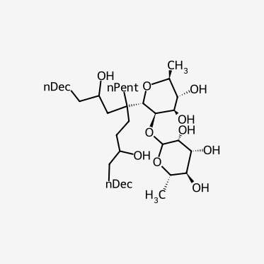 CCCCCCCCCCCC(O)CCC(CCCCC)(CC(O)CCCCCCCCCCC)[C@@H]1O[C@@H](C)[C@H](O)[C@@H](O)[C@H]1OC1O[C@@H](C)[C@H](O)[C@@H](O)[C@H]1O